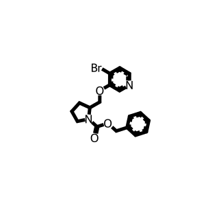 O=C(OCc1ccccc1)N1CCCC1COc1cnccc1Br